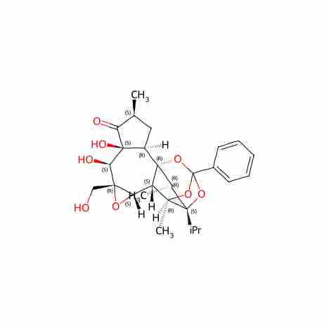 CC(C)[C@@]12OC3(c4ccccc4)O[C@@H]1[C@@H]1[C@@H]4O[C@]4(CO)[C@@H](O)[C@]4(O)C(=O)[C@@H](C)C[C@H]4[C@@]1(O3)[C@H](C)[C@H]2C